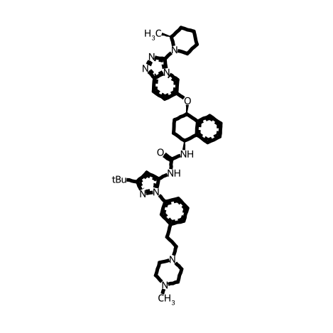 C[C@H]1CCCCN1c1nnc2ccc(O[C@@H]3CC[C@H](NC(=O)Nc4cc(C(C)(C)C)nn4-c4cccc(CCN5CCN(C)CC5)c4)c4ccccc43)cn12